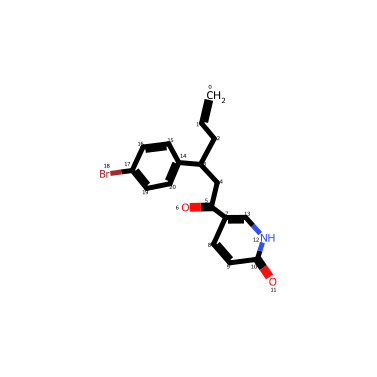 C=CCC(CC(=O)c1ccc(=O)[nH]c1)c1ccc(Br)cc1